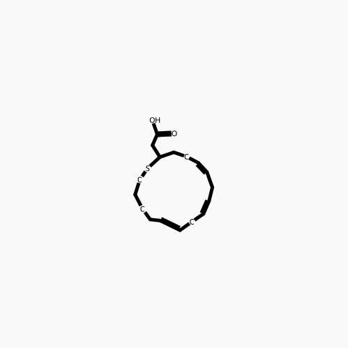 O=C(O)CC1CC/C=C\C/C=C\C/C=C/CCCCS1